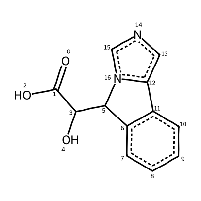 O=C(O)C(O)C1c2ccccc2-c2cncn21